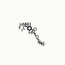 [N-]=[N+]=NCCOCCNC(=O)c1ccc(C2(C(F)(F)F)NN2)cc1